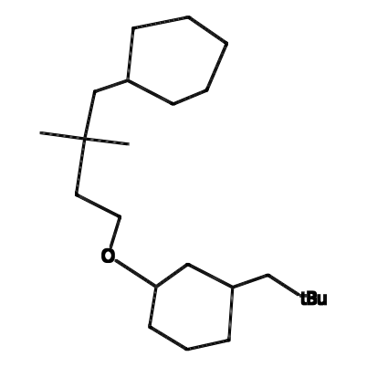 CC(C)(C)CC1CCCC(OCCC(C)(C)CC2CCCCC2)C1